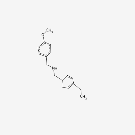 CCC1=CCC(CNCc2ccc(OC)cc2)C=C1